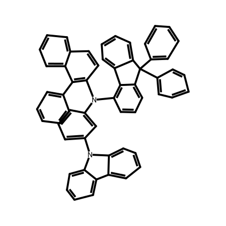 c1ccc(-c2c(N(c3cccc(-n4c5ccccc5c5ccccc54)c3)c3cccc4c3-c3ccccc3C4(c3ccccc3)c3ccccc3)ccc3ccccc23)cc1